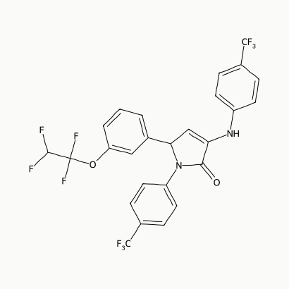 O=C1C(Nc2ccc(C(F)(F)F)cc2)=CC(c2cccc(OC(F)(F)C(F)F)c2)N1c1ccc(C(F)(F)F)cc1